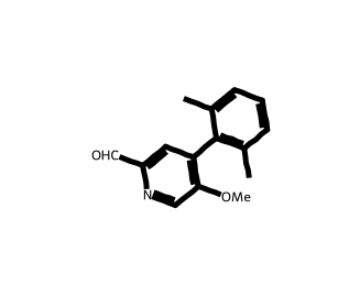 COc1cnc(C=O)cc1-c1c(C)cccc1C